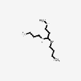 CCCCOC(CCSC)OCCCC